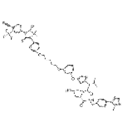 Cc1ncsc1-c1ccc(CNC(=O)[C@@H]2C[C@@H](O)CN2C(=O)[C@@H](C(C)C)n2cc(Oc3cccc(OCCCCCOc4ccc(N5C(=S)N(c6ccc(C#N)c(C(F)(F)F)c6)C(=O)C5(C)C)cc4)c3)cn2)cc1